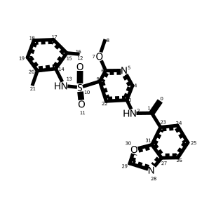 C=C(Nc1cnc(OC)c(S(=O)(=O)Nc2c(C)cccc2C)c1)c1cccc2ncoc12